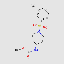 CC(C)(C)OC(=O)NC1CCN(S(=O)(=O)c2cccc(C(F)(F)F)c2)CC1